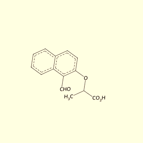 CC(Oc1ccc2ccccc2c1C=O)C(=O)O